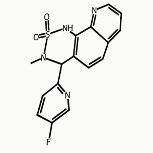 CN1C(c2ccc(F)cn2)c2ccc3cccnc3c2NS1(=O)=O